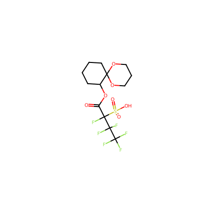 O=C(OC1CCCCC12OCCCO2)C(F)(C(F)(F)C(F)(F)F)S(=O)(=O)O